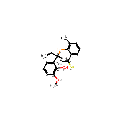 CCC(C)(Pc1c(C)cccc1C(C)S)c1cccc(OC)c1O